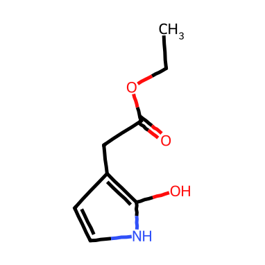 CCOC(=O)Cc1cc[nH]c1O